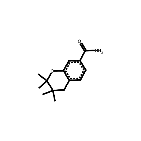 CC1(C)Cc2ccc(C(N)=O)cc2OC1(C)C